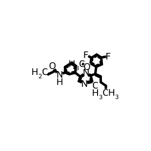 C=CC(=O)Nc1cccc(-c2cnc(C)c(/C(=C\CCC)c3cc(F)cc(F)c3OC)n2)c1